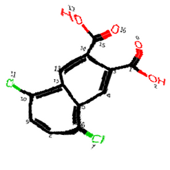 O=C(O)c1cc2c(Cl)ccc(Cl)c2cc1C(=O)O